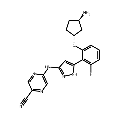 N#Cc1cnc(Nc2cc(-c3c(F)cccc3O[C@@H]3CC[C@@H](N)C3)[nH]n2)cn1